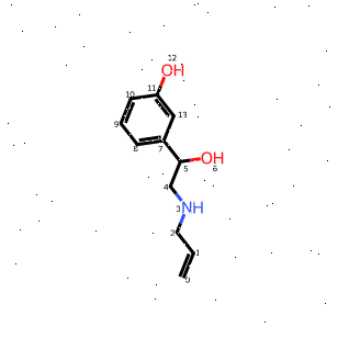 C=CCNCC(O)c1cccc(O)c1